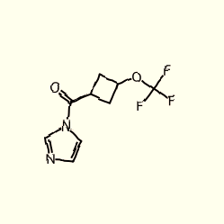 O=C(C1CC(OC(F)(F)F)C1)n1ccnc1